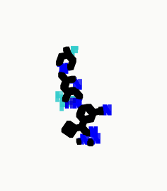 Cn1cnnc1C(c1cc(C#N)cc(NCc2ncc(CN3CCC(C)(F)CC3)cc2C(F)(F)F)c1)C1CCC1